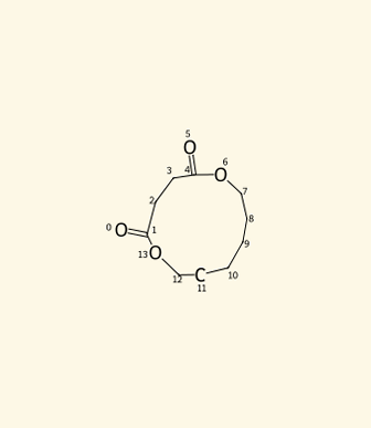 O=C1CCC(=O)OCCCCCCO1